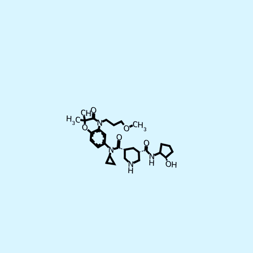 COCCCN1C(=O)C(C)(C)Oc2ccc(N(C(=O)[C@H]3CNC[C@@H](C(=O)NC4CCC[C@H]4O)C3)C3CC3)cc21